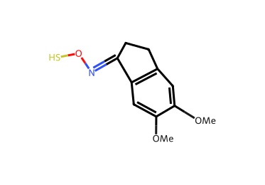 COc1cc2c(cc1OC)/C(=N/OS)CC2